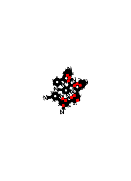 N#Cc1ccc2c(c1)c1ccccc1n2-c1c(C#N)c(-n2c3ccccc3c3cc(C#N)ccc32)c(-n2c3ccccc3c3cc(C#N)ccc32)c(-n2c3ccccc3c3cc(C#N)ccc32)c1-c1cc(-c2ccccc2)nc(-c2ccccc2)c1